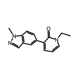 CCn1cccc(-c2ccc3c(cnn3C)c2)c1=O